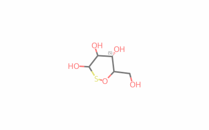 OCC1OSC(O)C(O)[C@@H]1O